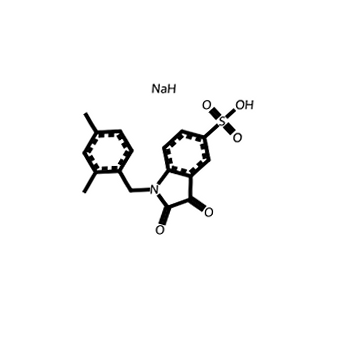 Cc1ccc(CN2C(=O)C(=O)c3cc(S(=O)(=O)O)ccc32)c(C)c1.[NaH]